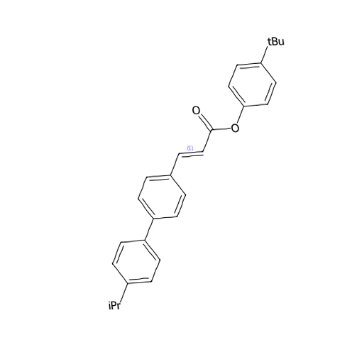 CC(C)c1ccc(-c2ccc(/C=C/C(=O)Oc3ccc(C(C)(C)C)cc3)cc2)cc1